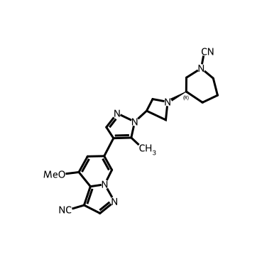 COc1cc(-c2cnn(C3CN([C@@H]4CCCN(C#N)C4)C3)c2C)cn2ncc(C#N)c12